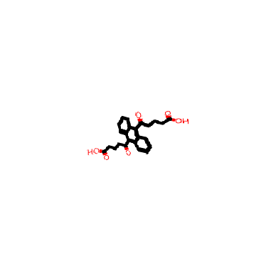 O=C(O)CCCC(=O)c1c2ccccc2c(C(=O)CCCC(=O)O)c2ccccc12